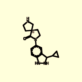 O=C1N(c2ccc3c(c2)C(C2CC2)NN3)CC[C@]12CCNC2